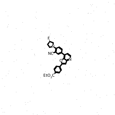 CCOC(=O)c1ccc(-c2cc3nccc(-c4ccc(N5CC[C@H](F)C5)c(C#N)c4)c3o2)cc1